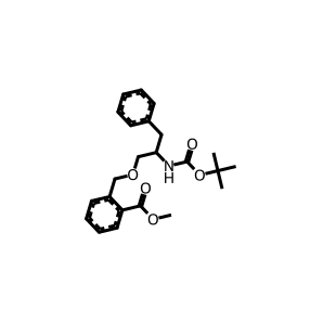 COC(=O)c1ccccc1COCC(Cc1ccccc1)NC(=O)OC(C)(C)C